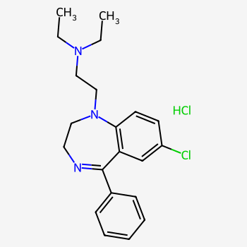 CCN(CC)CCN1CCN=C(c2ccccc2)c2cc(Cl)ccc21.Cl